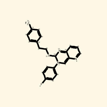 Fc1ccc(N2C=c3ncccc3=NC2SCCc2ccc(C(F)(F)F)cc2)cc1